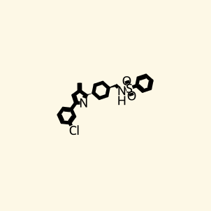 C=C1C=C(c2cccc(Cl)c2)N=C1[C@H]1CC[C@H](CNS(=O)(=O)c2ccccc2)CC1